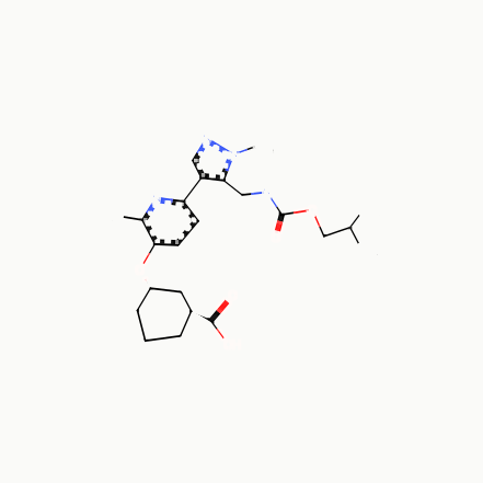 Cc1nc(-c2cnn(C)c2CNC(=O)OCC(C)C)ccc1O[C@H]1CCC[C@H](C(=O)O)C1